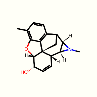 Cc1ccc2c3c1O[C@H]1[C@@H](O)C=C[C@H]4[C@H]5[C@@H](C2C[C@@]341)N5C